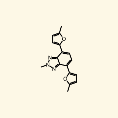 Cc1ccc(-c2ccc(-c3ccc(C)o3)c3nn(C)nc23)o1